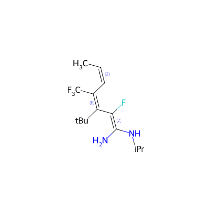 C\C=C/C(=C(\C(F)=C(/N)NC(C)C)C(C)(C)C)C(F)(F)F